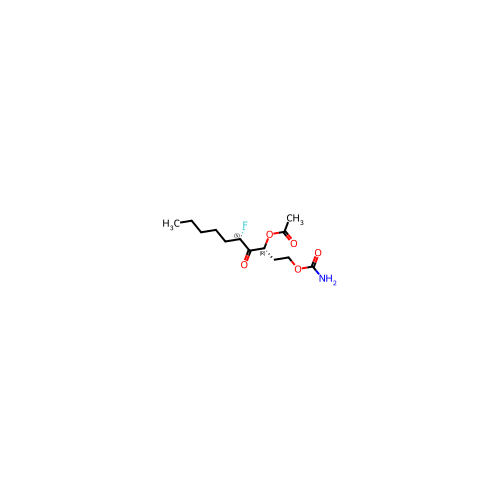 CCCCC[C@H](F)C(=O)[C@@H](CCOC(N)=O)OC(C)=O